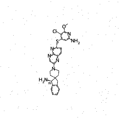 COc1nc(N)cc(Sc2ccc3nc(N4CCC5(CC4)Cc4ccccc4[C@H]5N)cnc3n2)c1Cl